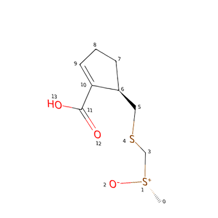 C[S@+]([O-])CSC[C@@H]1CCC=C1C(=O)O